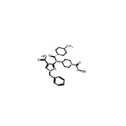 CCCC(=O)c1cn(Cc2ccccc2)nc1N(C(=O)[C@H]1CC[C@H](C)CC1)C1CCN(C(=O)OC(C)(C)C)CC1